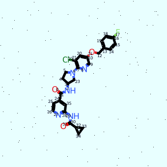 O=C(NC1CCN(c2ncc(OCc3ccc(F)cc3)cc2Cl)C1)c1ccnc(NC(=O)C2CC2)c1